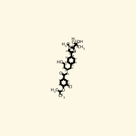 CC(Oc1ccc(C(=O)C[C@H](CCO)Cc2ccc(-c3cn(C)c(C(C)(C)O)n3)cc2)cc1Cl)C(F)(F)F